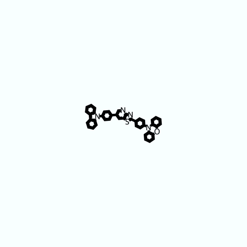 c1ccc2c(c1)Oc1ccccc1N2c1ccc(-c2nc3ncc(-c4ccc(-n5c6ccccc6c6ccccc65)cc4)cc3s2)cc1